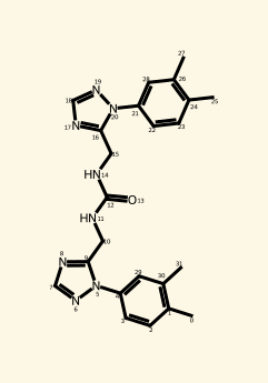 Cc1ccc(-n2ncnc2CNC(=O)NCc2ncnn2-c2ccc(C)c(C)c2)cc1C